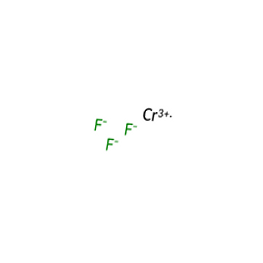 [Cr+3].[F-].[F-].[F-]